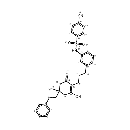 CCCC1(CCc2ccccc2)CC(O)=C(CCCc2cccc(NS(=O)(=O)c3ccc(C#N)cc3)c2)C(=O)O1